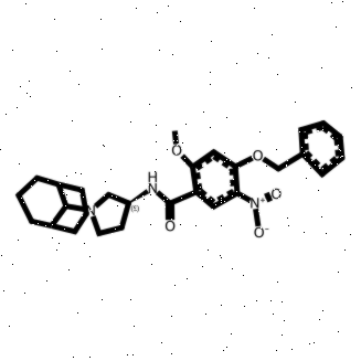 COc1cc(OCc2ccccc2)c([N+](=O)[O-])cc1C(=O)N[C@H]1CCN(C2C3CCCC2CCC3)C1